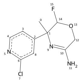 CC1(c2ccnc(Cl)c2)N=C(N)COC1F